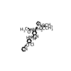 C=CC(=O)Nc1cc2c(Nc3ccc(OCc4ccccn4)c(Cl)c3)ncnc2cc1C#C[C@@H]1CCCN1C(=O)OC(C)(C)C